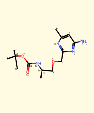 Cc1cc(N)nc(COC[C@@H](C)NC(=O)OC(C)(C)C)n1